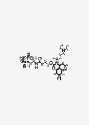 CCN(CC)CCCC(C)N(C(=O)OCCCC(=O)NCCC([PH](=O)O)P(=O)(O)O)c1ccnc2cc(Cl)ccc12